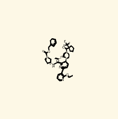 CCOc1ncccc1-c1ccc(N2CCN(C(=O)C3(C(F)(F)F)CCCC3)C[C@H]2CC)c(C(=O)N[C@@H]2CCN(C(=O)OCc3ccccc3)C2)n1